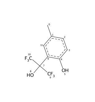 Cc1ccc(O)c(C(O)(C(F)(F)F)C(F)(F)F)c1